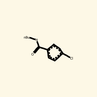 CCCC[N]C(=O)c1ccc(Cl)cc1